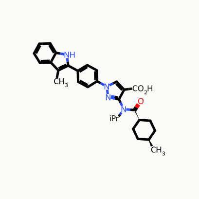 Cc1c(-c2ccc(-n3cc(C(=O)O)c(N(C(=O)[C@H]4CC[C@H](C)CC4)C(C)C)n3)cc2)[nH]c2ccccc12